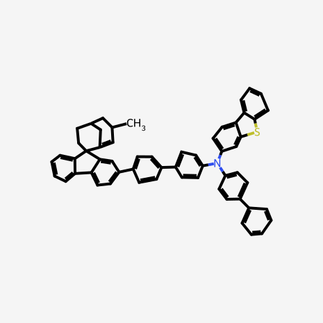 CC1C=C2CC(CCC23c2ccccc2-c2ccc(-c4ccc(-c5ccc(N(c6ccc(-c7ccccc7)cc6)c6ccc7c(c6)sc6ccccc67)cc5)cc4)cc23)C1